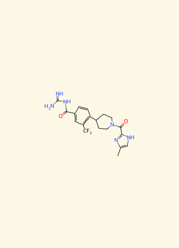 Cc1c[nH]c(C(=O)N2CCC(c3ccc(C(=O)NC(=N)N)cc3C(F)(F)F)CC2)n1